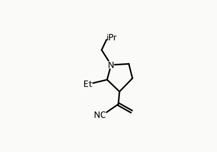 C=C(C#N)C1CCN(CC(C)C)C1CC